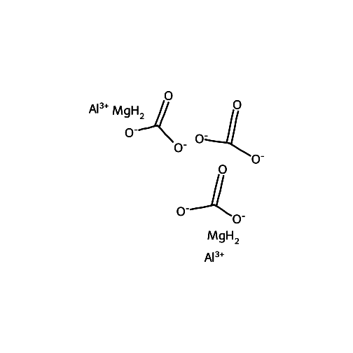 O=C([O-])[O-].O=C([O-])[O-].O=C([O-])[O-].[Al+3].[Al+3].[MgH2].[MgH2]